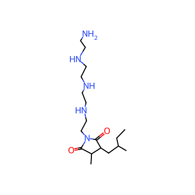 CCC(C)CC1C(=O)N(CCNCCNCCNCCN)C(=O)C1C